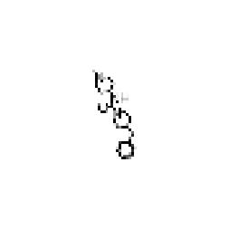 CN1CCC(NC(=O)N2CCC(Cc3ccccc3)CC2)CC1